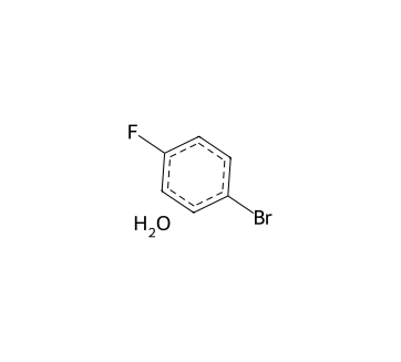 Fc1ccc(Br)cc1.O